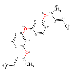 C/C=C/C(C)Oc1cccc(Oc2cccc(OC(C)/C=C/C)c2)c1